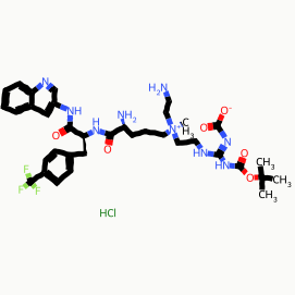 CC(C)(C)OC(=O)NC(=NC(=O)[O-])NCC[N+](C)(CCN)CCC[C@H](N)C(=O)N[C@@H](Cc1ccc(C(F)(F)F)cc1)C(=O)Nc1cnc2ccccc2c1.Cl